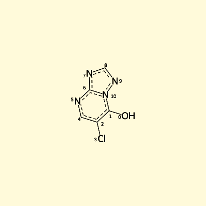 Oc1c(Cl)cnc2ncnn12